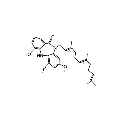 COc1cc(OC)c2c(c1)N(C/C=C(\C)CC/C=C(\C)CCC=C(C)C)C(=O)c1cccc(O)c1N2